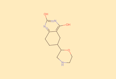 Oc1nc(O)c2c(n1)CCC(C1CNCCO1)C2